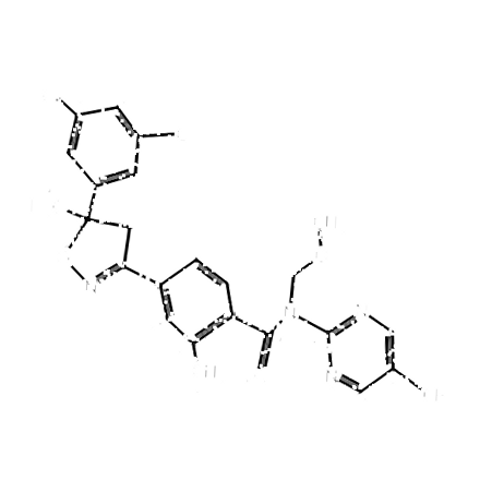 COCN(C(=O)c1ccc(C2=NOC(C)(c3cc(Cl)cc(Cl)c3)C2)cc1C)c1ncc(C)cn1